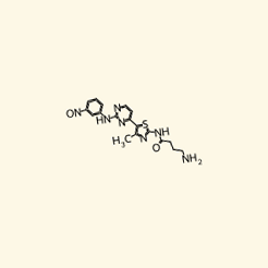 Cc1nc(NC(=O)CCCN)sc1-c1ccnc(Nc2cccc(N=O)c2)n1